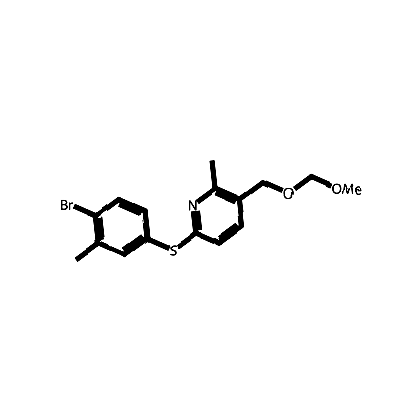 COCOCc1ccc(Sc2ccc(Br)c(C)c2)nc1C